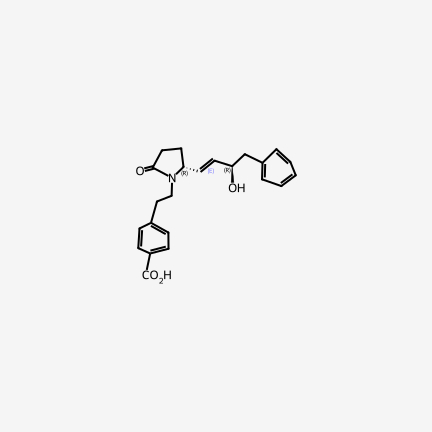 O=C(O)c1ccc(CCN2C(=O)CC[C@@H]2/C=C/[C@H](O)Cc2ccccc2)cc1